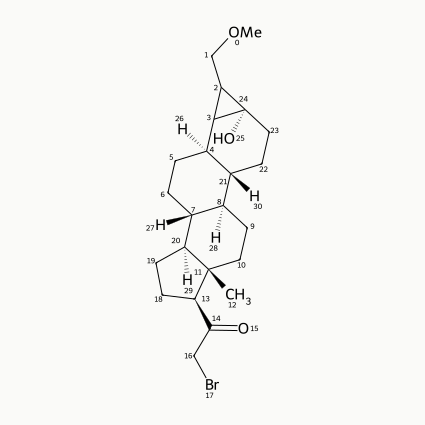 COCC1C2[C@@H]3CC[C@@H]4[C@H](CC[C@]5(C)[C@@H](C(=O)CBr)CC[C@@H]45)[C@H]3CC[C@]12O